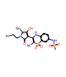 CC(C)CCN1C(=O)C(C2=C(C#N)S(=O)(=O)c3cc(NS(C)(=O)=O)ccc3N2)=C(O)[C@@H]1C(C)(C)C